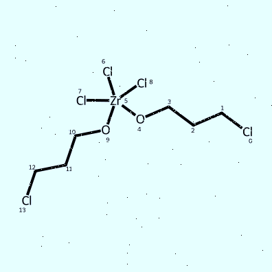 ClCCC[O][Zr]([Cl])([Cl])([Cl])[O]CCCCl